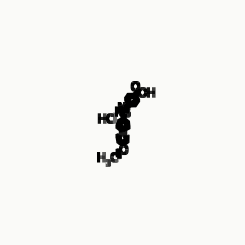 CCCOC1CCN(c2ccc(-c3nnc(-c4ccc(C(=O)O)cc4)s3)cc2)CC1.Cl